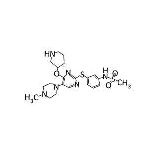 CN1CCN(c2cnc(Sc3cccc(NS(C)(=O)=O)c3)nc2OC2CCCNC2)CC1